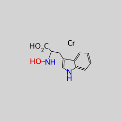 O=C(O)C(Cc1c[nH]c2ccccc12)NO.[Cr]